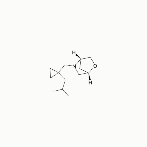 CC(C)CC1(CN2C[C@@H]3C[C@H]2CO3)CC1